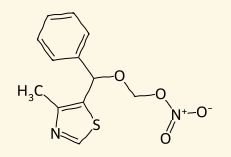 Cc1ncsc1C(OCO[N+](=O)[O-])c1ccccc1